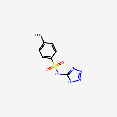 O=[N+]([O-])c1ccc(S(=O)(=O)Nc2nnn[nH]2)cc1